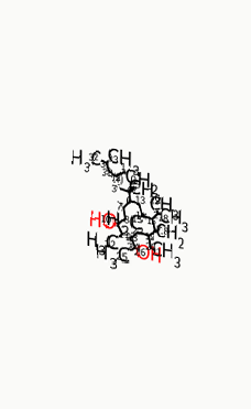 C=C[C@H](CC(=C)C(CCC(O)CC)CC(=C)C(C(=C)C(CC)CCC(C)O)C(C)C)CC(C)C